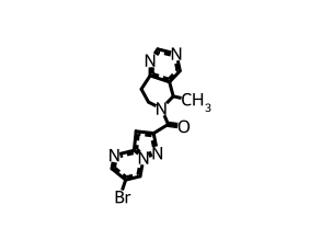 CC1c2cncnc2CCN1C(=O)c1cc2ncc(Br)cn2n1